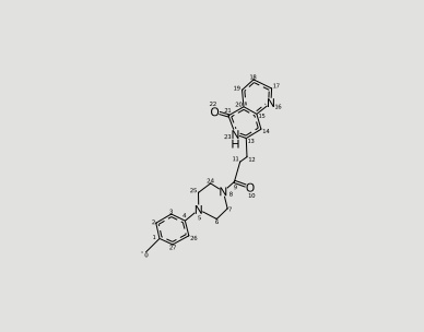 [CH2]c1ccc(N2CCN(C(=O)CCc3cc4ncccc4c(=O)[nH]3)CC2)cc1